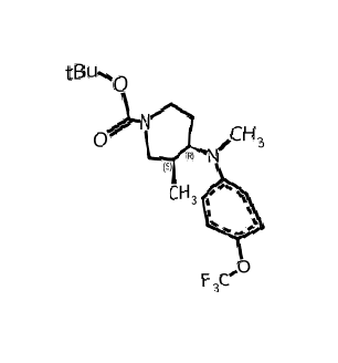 C[C@H]1CN(C(=O)OC(C)(C)C)CC[C@H]1N(C)c1ccc(OC(F)(F)F)cc1